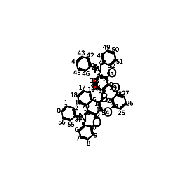 c1ccc(N2c3ccccc3Oc3c4c(c5ccccc5c32)B2c3c(cccc3Oc3c5c(c6ccccc6c32)N(c2ccccc2)c2ccccc2O5)O4)cc1